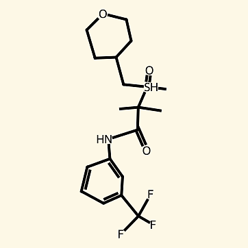 CC(C)(C(=O)Nc1cccc(C(F)(F)F)c1)[SH](C)(=O)CC1CCOCC1